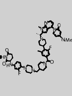 CNc1ccn(-c2ccnc3c2cc([C@@H](C)N2CCC(c4c(C)cc(C(=O)N5CCC(CN6CCN(c7ccc(N[C@@H]8CCC(=O)NC8=O)cc7F)CC6)CC5)cc4F)CC2)n3C)c(=O)c1